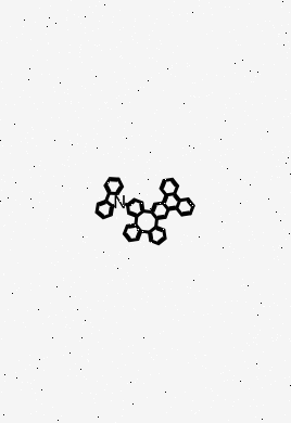 c1ccc2c(c1)-c1ccccc1-c1cc3c4ccccc4c4ccccc4c3cc1-c1ccc(-n3c4ccccc4c4ccccc43)cc1-2